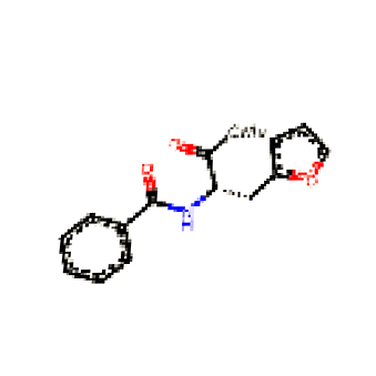 COC(=O)[C@H](Cc1ccco1)NC(=O)c1ccccc1